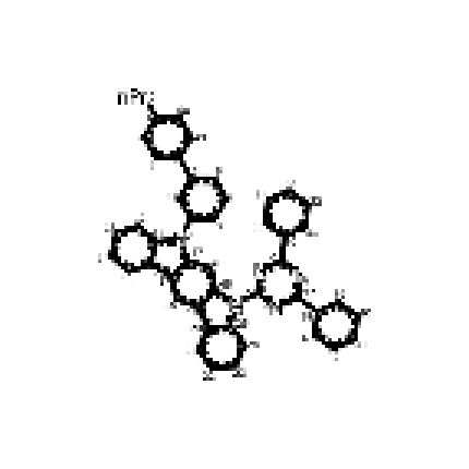 CCCc1ccc(-c2cccc(-n3c4ccccc4c4cc5c6ccccc6n(-c6nc(-c7ccccc7)nc(-c7ccccc7)n6)c5cc43)c2)cc1